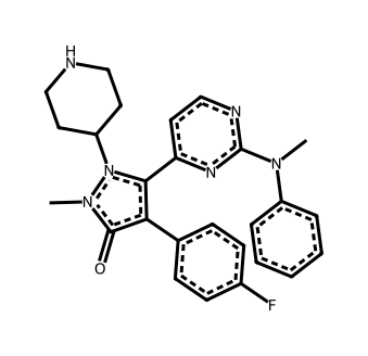 CN(c1ccccc1)c1nccc(-c2c(-c3ccc(F)cc3)c(=O)n(C)n2C2CCNCC2)n1